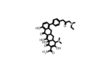 CCN(C)CC(=O)Cc1ccc(-c2ccc(O)c3c2CC2CC4C(N(C)C)C(O)=C(C(N)=O)C(=O)C4(O)C(O)=C2C3=O)cc1